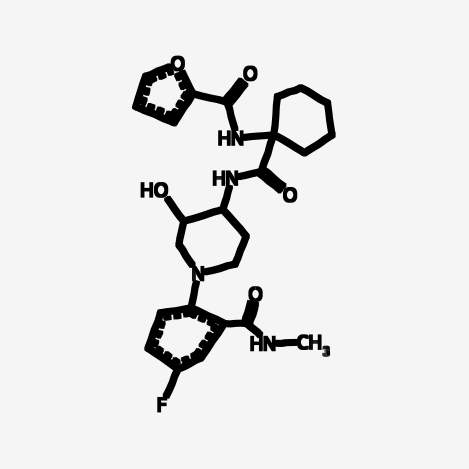 CNC(=O)c1cc(F)ccc1N1CCC(NC(=O)C2(NC(=O)c3ccco3)CCCCC2)C(O)C1